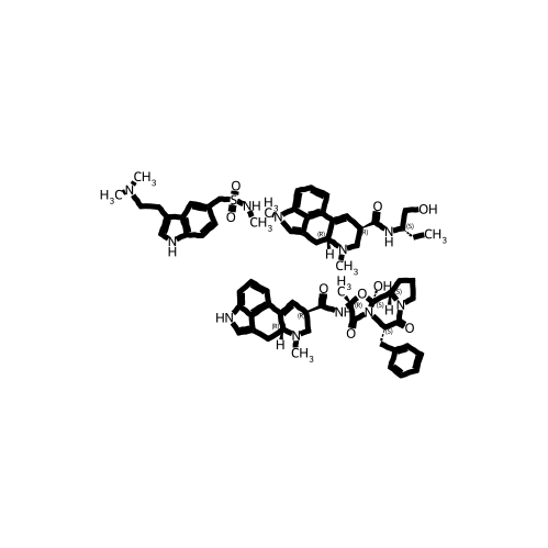 CC[C@@H](CO)NC(=O)[C@@H]1C=C2c3cccc4c3c(cn4C)C[C@H]2N(C)C1.CN1C[C@H](C(=O)N[C@]2(C)O[C@@]3(O)[C@@H]4CCCN4C(=O)[C@H](Cc4ccccc4)N3C2=O)C=C2c3cccc4[nH]cc(c34)C[C@H]21.CNS(=O)(=O)Cc1ccc2[nH]cc(CCN(C)C)c2c1